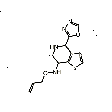 C=CCONC1CNC(c2nnco2)c2ncsc21